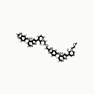 COCCN1CCC=C(c2cc3c(Nc4ccc5sc(COCCN6CCC=C(c7cc8c(Nc9ccc%10scnc%10c9)ccnc8s7)C6C)nc5c4)ccnc3s2)[C@H]1C